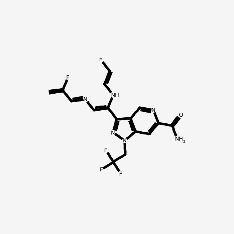 C=C(F)/C=N/C=C(\N/C=C/F)c1nn(CC(F)(F)F)c2cc(C(N)=O)ncc12